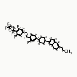 CCCc1ccc2cc(C3CCC(c4ccc(COc5cc(F)c(C(F)(F)OC(F)(F)F)c(F)c5)c(F)c4)CC3)ccc2c1